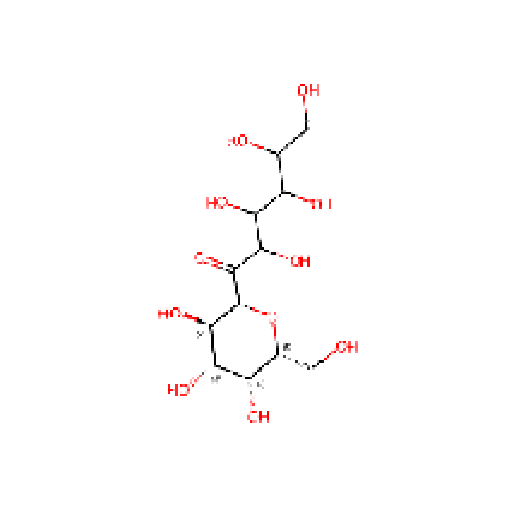 O=C(C(O)C(O)C(O)C(O)CO)C1O[C@H](CO)[C@H](O)[C@H](O)[C@H]1O